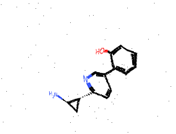 N[C@@H]1C[C@H]1c1ccc(-c2ccccc2O)cn1